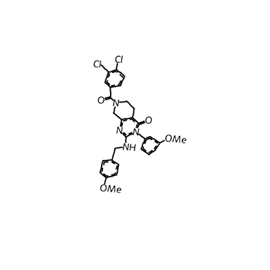 COc1ccc(CNc2nc3c(c(=O)n2-c2cccc(OC)c2)CCN(C(=O)c2ccc(Cl)c(Cl)c2)C3)cc1